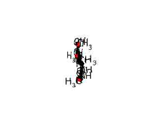 C[C@H](CO)CC[C@@H]1C[C@H]2C(CC3[C@@H]4CC[C@@H]5CC(CCNC(=O)CC(=O)NC6CCN(C)CC6)CC[C@]5(C)C4CC[C@@]32C)O1